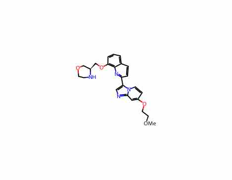 COCCOc1ccn2c(-c3ccc4cccc(OC[C@@H]5COCCN5)c4n3)cnc2c1